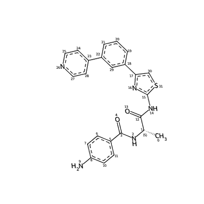 C[C@H](NC(=O)c1ccc(N)cc1)C(=O)Nc1nc(-c2cccc(-c3ccncc3)c2)cs1